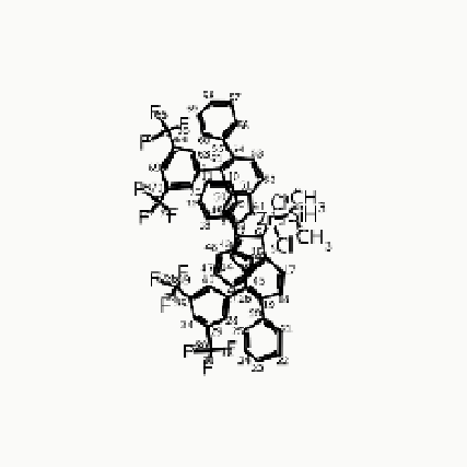 C[SiH](C)[Zr]([Cl])([Cl])([CH]1C(c2ccccc2)=Cc2c1ccc(-c1ccccc1)c2-c1cc(C(F)(F)F)cc(C(F)(F)F)c1)[CH]1C(c2ccccc2)=Cc2c1ccc(-c1ccccc1)c2-c1cc(C(F)(F)F)cc(C(F)(F)F)c1